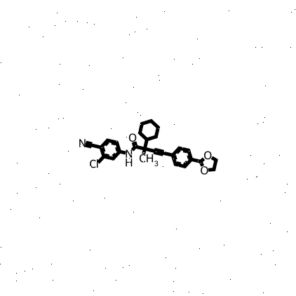 CC(C#Cc1ccc(C2OCCO2)cc1)(C(=O)Nc1ccc(C#N)c(Cl)c1)C1CCCCC1